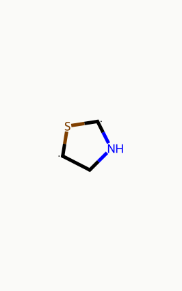 [CH]1CN[CH]S1